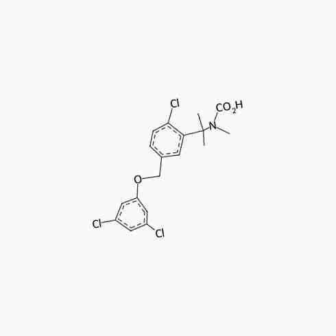 CN(C(=O)O)C(C)(C)c1cc(COc2cc(Cl)cc(Cl)c2)ccc1Cl